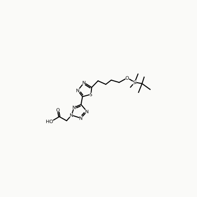 CC(C)(C)[Si](C)(C)OCCCCc1nnc(-c2nnn(CC(=O)O)n2)s1